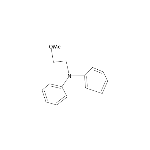 COCCN(c1ccccc1)c1ccccc1